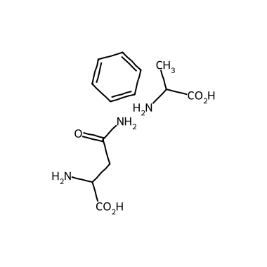 CC(N)C(=O)O.NC(=O)CC(N)C(=O)O.c1ccccc1